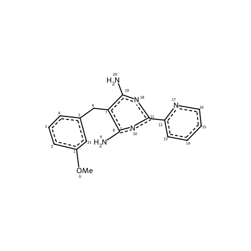 COc1cccc(Cc2c(N)nc(-c3ccccn3)nc2N)c1